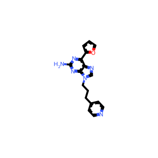 Nc1nc(-c2ccco2)c2ncn(CCCc3ccncc3)c2n1